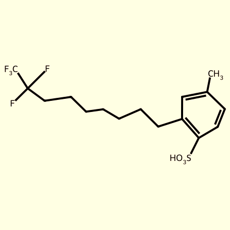 Cc1ccc(S(=O)(=O)O)c(CCCCCCCC(F)(F)C(F)(F)F)c1